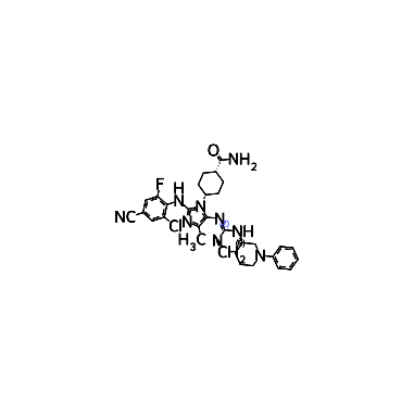 C=N/C(=N\c1c(C)nc(Nc2c(F)cc(C#N)cc2Cl)n1[C@H]1CC[C@@H](C(N)=O)CC1)N[C@@H]1CCCN(c2ccccc2)C1